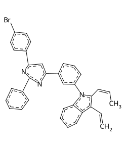 C=Cc1c(/C=C\C)n(-c2cccc(-c3cc(-c4ccc(Br)cc4)nc(-c4ccccc4)n3)c2)c2ccccc12